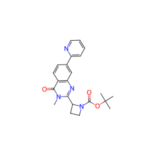 Cn1c(C2CCN2C(=O)OC(C)(C)C)nc2cc(-c3ccccn3)ccc2c1=O